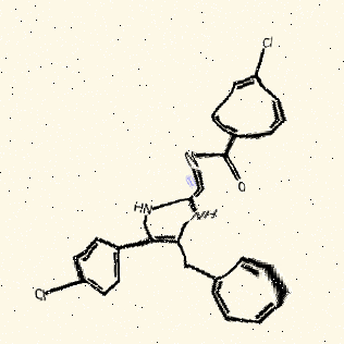 O=C(/N=c1\[nH]c(Cc2ccccc2)c(-c2ccc(Cl)cc2)[nH]1)c1ccc(Cl)cc1